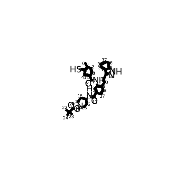 Cc1ccc(C(=O)Nc2cc(C(=O)NC3CCN(OC(=O)C(C)(C)C)CC3)ccc2C=Cc2n[nH]c3ccccc23)cc1S